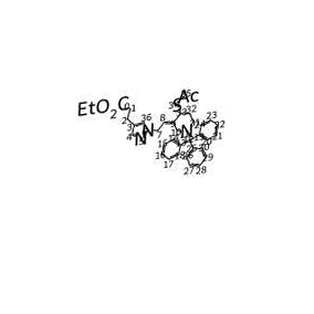 CCOC(=O)CCc1cnn(C/C=C2\CN(C(c3ccccc3)(c3ccccc3)c3ccccc3)CCC2SC(C)=O)c1